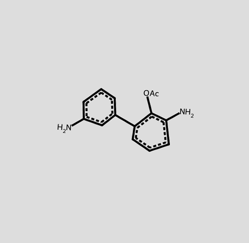 CC(=O)Oc1c(N)cccc1-c1cccc(N)c1